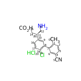 Cc1ccc(C#N)cc1-c1cc([C@H](CN)CC(=O)O)ccc1Cl.Cl